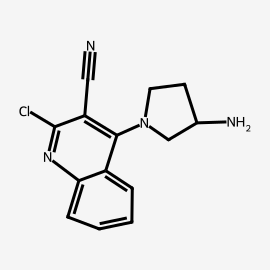 N#Cc1c(Cl)nc2ccccc2c1N1CCC(N)C1